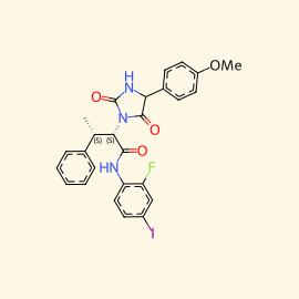 COc1ccc(C2NC(=O)N([C@H](C(=O)Nc3ccc(I)cc3F)[C@@H](C)c3ccccc3)C2=O)cc1